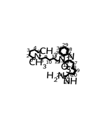 C[C@@H]1CCC[C@H](C)N1CCCCCn1c(=O)c(Cc2ccc(C(=N)N)s2)nc2ccccc21